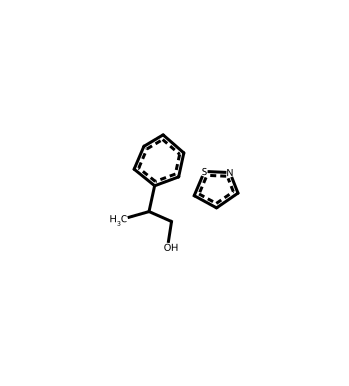 CC(CO)c1ccccc1.c1cnsc1